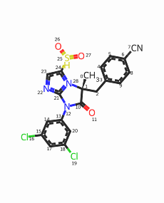 C[C@@]1(Cc2ccc(C#N)cc2)C(=O)N(c2cc(Cl)cc(Cl)c2)c2ncc([SH](=O)=O)n21